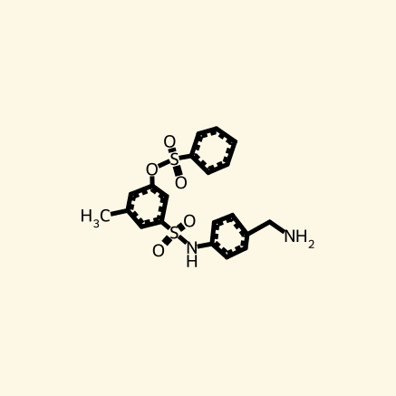 Cc1cc(OS(=O)(=O)c2ccccc2)cc(S(=O)(=O)Nc2ccc(CN)cc2)c1